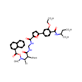 CCCCCC(C(=O)NCNC(=O)c1ccc(-c2ccc(C(=O)NC(CC(=O)O)C(=O)O)c(OCC(=O)O)c2)o1)[C@@H](CC)N(C=O)OC(=O)c1cccc2ccccc12